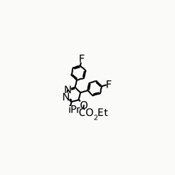 CCOC(=O)OC1C(C(C)C)=NN=C(c2ccc(F)cc2)C1c1ccc(F)cc1